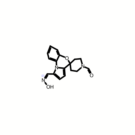 O=CN1CCC2(CC1)Oc1ccccc1-n1c(/C=N\O)ccc12